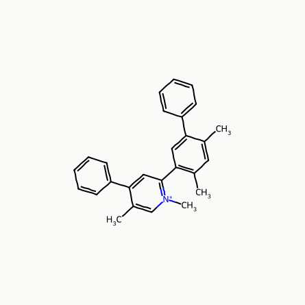 Cc1cc(C)c(-c2cc(-c3ccccc3)c(C)c[n+]2C)cc1-c1ccccc1